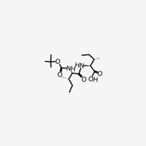 CC[C@H](C)[C@H](NC(=O)[C@@H](NC(=O)OC(C)(C)C)[C@@H](C)CC)C(=O)O